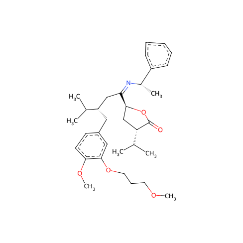 COCCCOc1cc(C[C@@H](C/C(=N/[C@@H](C)c2ccccc2)[C@@H]2C[C@@H](C(C)C)C(=O)O2)C(C)C)ccc1OC